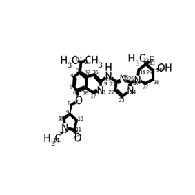 CC(C)c1ccc(OC[C@H]2CC(=O)N(C)C2)c2cnc(Nc3ccnc(N4CC[C@@H](O)[C@@](C)(F)C4)n3)cc12